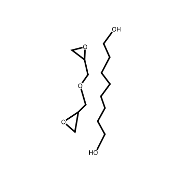 C(OCC1CO1)C1CO1.OCCCCCCCCO